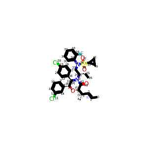 C/C=C/[C@H](C)[C@@H]1O[C@H](c2cccc(Cl)c2)[C@@H](c2ccc(Cl)cc2)N([C@@H](CC)CN(c2ccccc2F)S(=O)(=O)C2CC2)C1=O